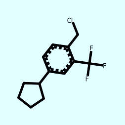 FC(F)(F)c1cc(C2CCCC2)ccc1CCl